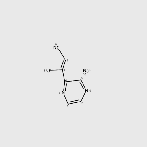 N#CC=C([O-])c1cnccn1.[Na+]